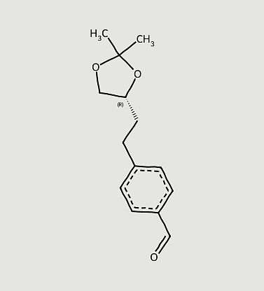 CC1(C)OC[C@@H](CCc2ccc(C=O)cc2)O1